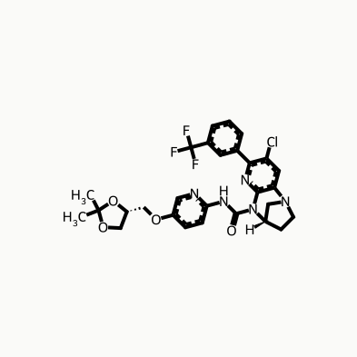 CC1(C)OC[C@@H](COc2ccc(NC(=O)N3c4nc(-c5cccc(C(F)(F)F)c5)c(Cl)cc4N4CC[C@H]3C4)nc2)O1